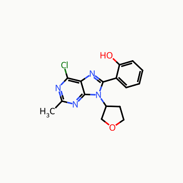 Cc1nc(Cl)c2nc(-c3ccccc3O)n(C3CCOC3)c2n1